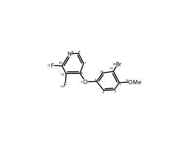 COc1ccc(Oc2ccnc(F)c2F)cc1Br